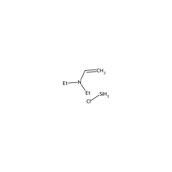 C=CN(CC)CC.[SiH3]Cl